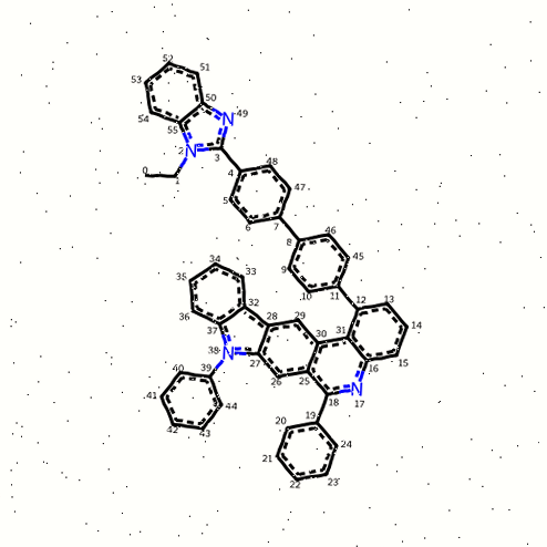 CCn1c(-c2ccc(-c3ccc(-c4cccc5nc(-c6ccccc6)c6cc7c(cc6c45)c4ccccc4n7-c4ccccc4)cc3)cc2)nc2ccccc21